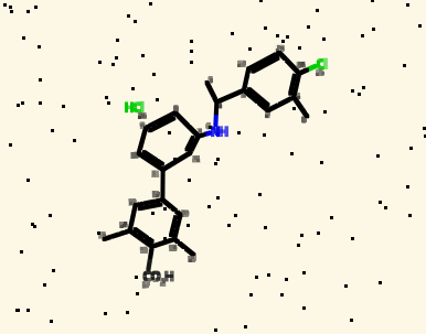 Cc1cc(C(C)Nc2cccc(-c3cc(C)c(C(=O)O)c(C)c3)c2)ccc1Cl.Cl